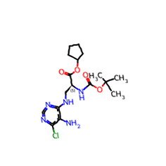 CC(C)(C)OC(=O)N[C@@H](CNc1ncnc(Cl)c1N)C(=O)OC1CCCC1